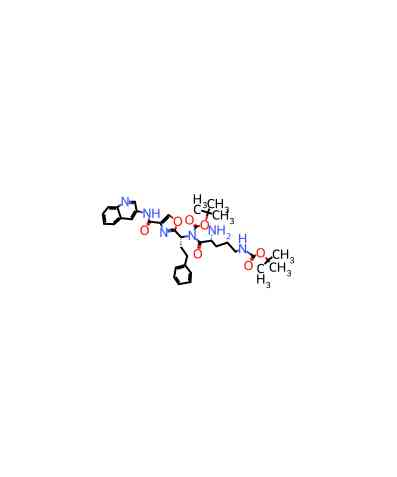 CC(C)(C)OC(=O)NCCC[C@@H](N)C(=O)N(C(=O)OC(C)(C)C)[C@H](CCc1ccccc1)c1nc(C(=O)Nc2cnc3ccccc3c2)co1